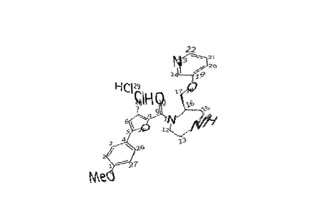 COc1ccc(-c2ccc(C(=O)N3CCNC[C@@H]3COc3cccnc3)o2)cc1.Cl.Cl